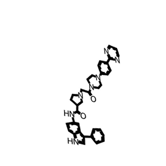 O=C(Nc1ccc2[nH]cc(-c3ccccc3)c2c1)C1CCN(CC(=O)N2CCN(c3ccc(-c4ncccn4)cc3)CC2)C1